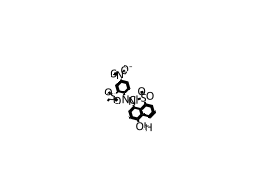 CS(=O)(=O)c1cc([N+](=O)[O-])ccc1/N=N/c1ccc(O)c2cccc(S(=O)(=O)Cl)c12